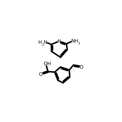 Nc1cccc(N)n1.O=Cc1cccc(C(=O)O)c1